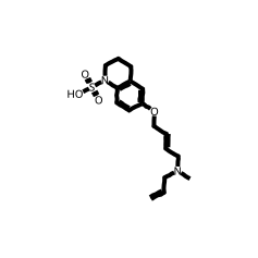 C=CCN(C)CC=CCOc1ccc2c(c1)CCCN2S(=O)(=O)O